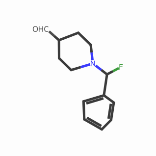 O=CC1CCN(C(F)c2ccccc2)CC1